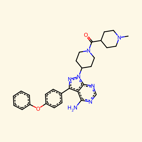 CN1CCC(C(=O)N2CCC(n3nc(-c4ccc(Oc5ccccc5)cc4)c4c(N)ncnc43)CC2)CC1